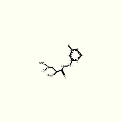 CCCCCC(CN(O)C=O)C(=O)NNc1cc(C)ccn1